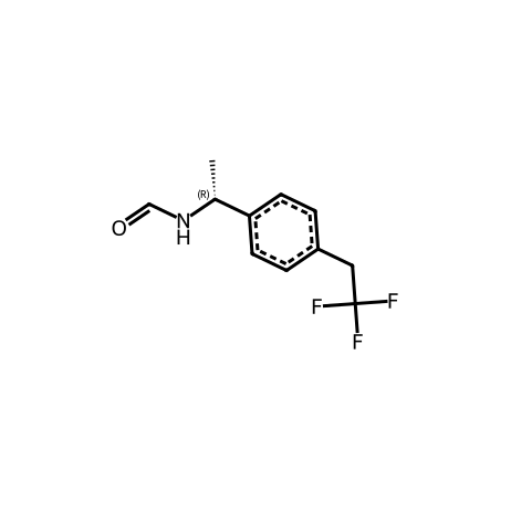 C[C@@H](NC=O)c1ccc(CC(F)(F)F)cc1